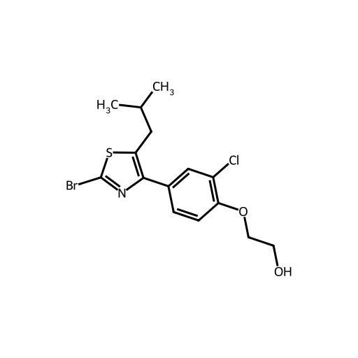 CC(C)Cc1sc(Br)nc1-c1ccc(OCCO)c(Cl)c1